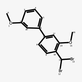 COc1cccc(-c2ccc(C(Br)Br)c(OC)c2)c1